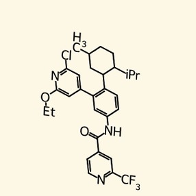 CCOc1cc(-c2cc(NC(=O)c3ccnc(C(F)(F)F)c3)ccc2C2CC(C)CCC2C(C)C)cc(Cl)n1